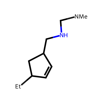 CCC1C=CC(CNCNC)C1